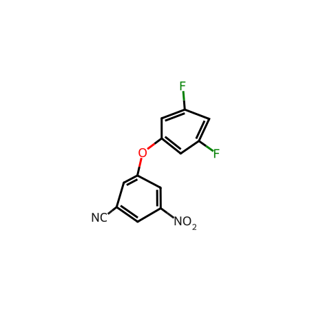 N#Cc1cc(Oc2cc(F)cc(F)c2)cc([N+](=O)[O-])c1